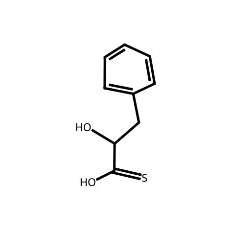 OC(=S)C(O)Cc1ccccc1